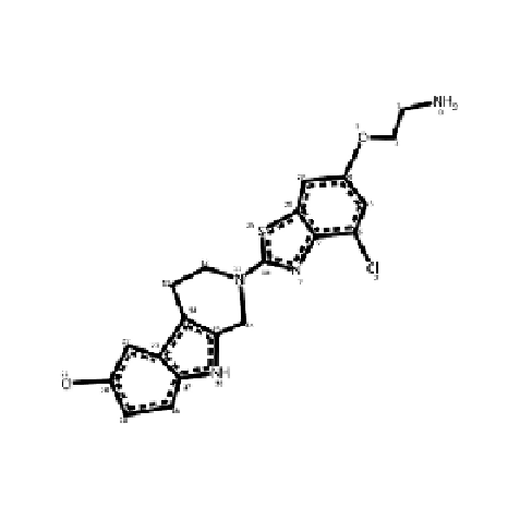 NCCOc1cc(Cl)c2nc(N3CCc4c([nH]c5ccc(Cl)cc45)C3)sc2c1